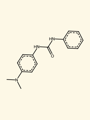 CN(C)c1ccc(NC(=O)Nc2ccccc2)cc1